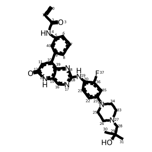 C=CC(=O)Nc1cccc(-c2cc(=O)[nH]c3cnc(Nc4ccc(N5CCN(CC(C)(C)O)CC5)cc4F)nc23)c1